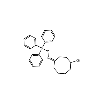 N#CC1CCCCC(=NO[Si](c2ccccc2)(c2ccccc2)c2ccccc2)CC1